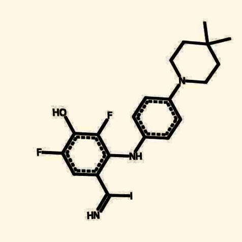 CC1(C)CCN(c2ccc(Nc3c(C(=N)I)cc(F)c(O)c3F)cc2)CC1